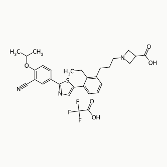 CCc1c(CCCN2CC(C(=O)O)C2)cccc1-c1cnc(-c2ccc(OC(C)C)c(C#N)c2)s1.O=C(O)C(F)(F)F